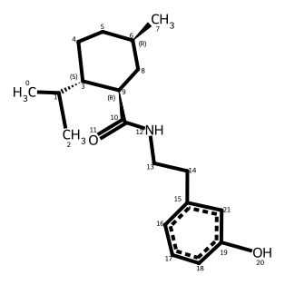 CC(C)[C@@H]1CC[C@@H](C)C[C@H]1C(=O)NCCc1cccc(O)c1